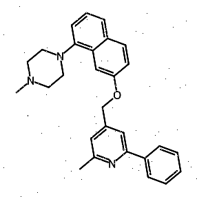 Cc1cc(COc2ccc3cccc(N4CCN(C)CC4)c3c2)cc(-c2ccccc2)n1